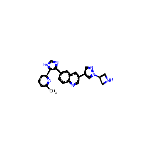 Cc1cccc(-c2[nH]cnc2-c2ccc3ncc(-c4cnn(C5CNC5)c4)cc3c2)n1